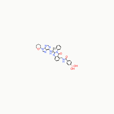 CC[C@H](Nc1ncnc2c1ncn2C1CCCCO1)c1nc2cccc(CNC(=O)c3ccc(B(O)O)cc3)c2c(=O)n1-c1ccccc1